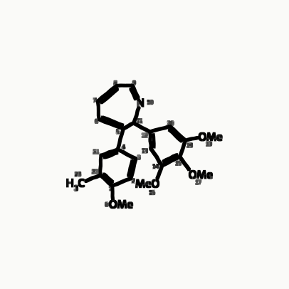 COc1ccc(C2=CC=CC=NC2c2cc(OC)c(OC)c(OC)c2)cc1C